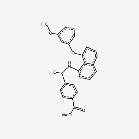 COC(=O)c1ccc(C(C)Nc2nccc3cccc(Oc4cccc(OC(F)(F)F)c4)c23)cc1